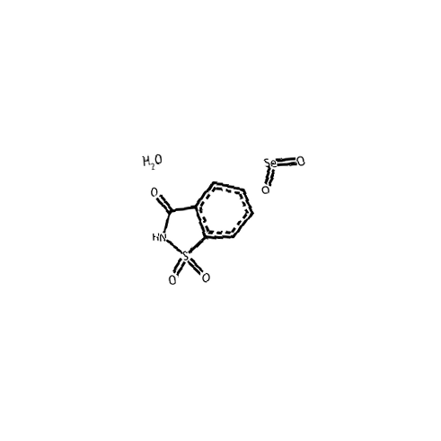 O.O=C1NS(=O)(=O)c2ccccc21.O=[Se]=O